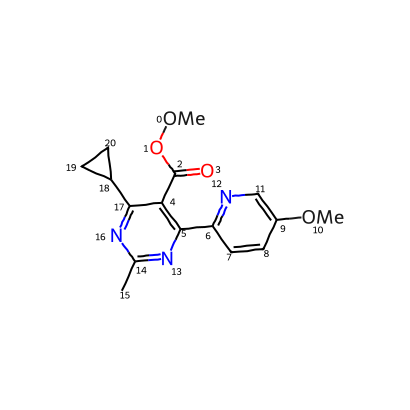 COOC(=O)c1c(-c2ccc(OC)cn2)nc(C)nc1C1CC1